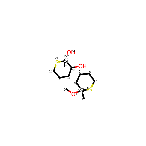 CO[Si]1(C)CCCCS1.OC1CCCS[SiH]1O